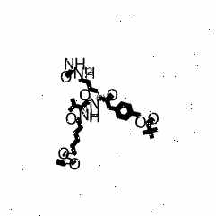 C=CS(=O)(=O)CCCCCC(=O)N[C@@H](C(=O)N[C@H](CCCCNC(N)=O)C(=O)Cc1ccc(COC(=O)C(C)(C)C)cc1)C(C)C